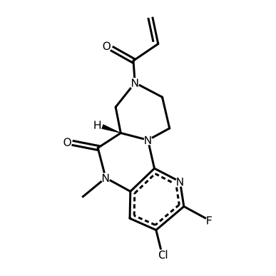 C=CC(=O)N1CCN2c3nc(F)c(Cl)cc3N(C)C(=O)[C@@H]2C1